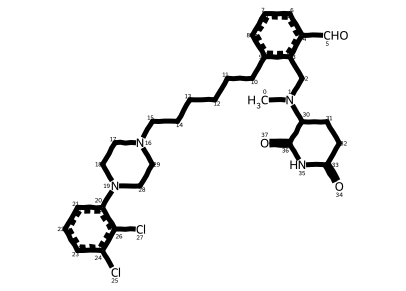 CN(Cc1c(C=O)cccc1CCCCCCN1CCN(c2cccc(Cl)c2Cl)CC1)C1CCC(=O)NC1=O